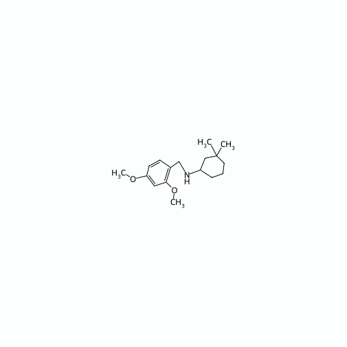 COc1ccc(CNC2CCCC(C)(C)C2)c(OC)c1